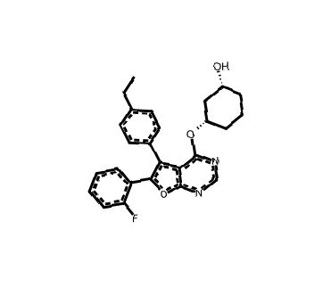 CCc1ccc(-c2c(-c3ccccc3F)oc3ncnc(O[C@H]4CCC[C@@H](O)C4)c23)cc1